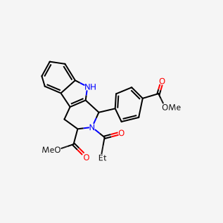 CCC(=O)N1C(C(=O)OC)Cc2c([nH]c3ccccc23)C1c1ccc(C(=O)OC)cc1